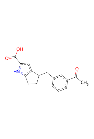 CC(=O)c1cccc(CC2CCc3[nH]c(C(=O)O)cc32)c1